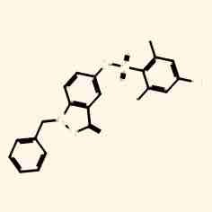 Cc1cc(Cl)cc(Cl)c1S(=O)(=O)Nc1ccc2c(c1)c(=O)[nH]n2Cc1ccccc1